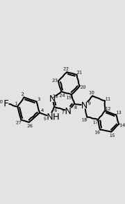 Fc1ccc(Nc2nc(N3CCc4ccccc4C3)c3ccccc3n2)cc1